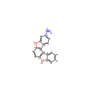 Nc1ccc2c(c1)oc1ccc3oc4ccccc4c3c12